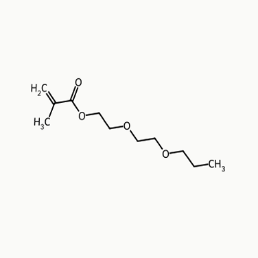 C=C(C)C(=O)OCCOCCOCCC